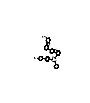 CCCCc1ccc(-c2ccc(-c3nc(-c4ccccc4)nc(-c4cccc5oc6cc(-c7cccc8c7oc7ccc(CCCC)cc78)ccc6c45)n3)cc2)cc1